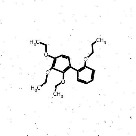 CCCOc1[c]cccc1-c1ccc(OCC)c(OCC)c1OCC